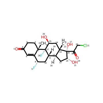 C[C@]12CCC(=O)C=C1[C@@H](F)C[C@H]1[C@@H]3C[C@@H](O)[C@](O)(C(=O)CCl)[C@@]3(C)C[C@H](O)[C@@]12F